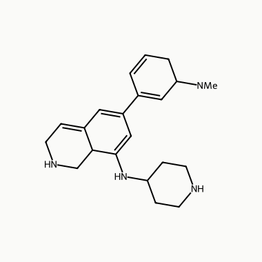 CNC1C=C(C2=CC3=CCNCC3C(NC3CCNCC3)=C2)C=CC1